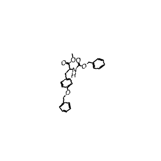 COC(=O)C(Cc1ccc(OCc2ccccc2)cc1)NC(=O)OCc1ccccc1